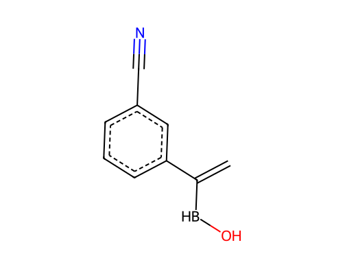 C=C(BO)c1cccc(C#N)c1